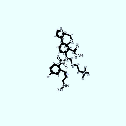 CCNC/C=C\c1cc(F)ccc1S(=O)(=O)N(COCC[Si](C)(C)C)c1ccc2c(c1C(=O)OC)OCc1occc1-2